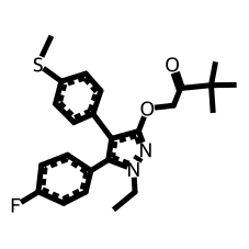 CCn1nc(OCC(=O)C(C)(C)C)c(-c2ccc(SC)cc2)c1-c1ccc(F)cc1